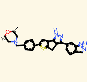 C[C@@H]1CN(Cc2ccc(-c3cc4c(s3)Cc3c(-c5ccc6cn[nH]c6c5)n[nH]c3-4)cc2)C[C@H](C)O1